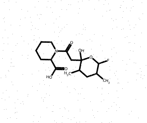 CC1CC(C)C(O)(CC(=O)N2CCCCC2C(=O)O)OC1F